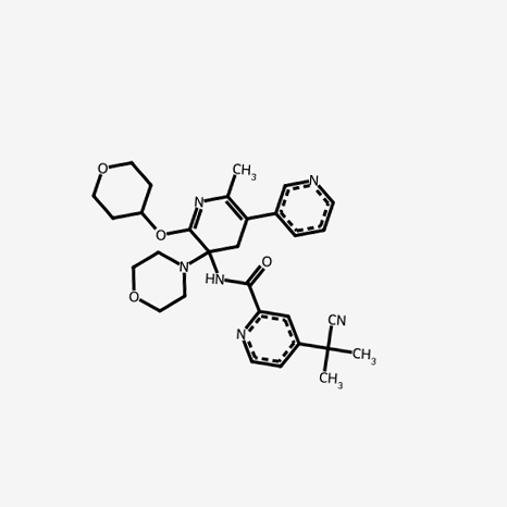 CC1=C(c2cccnc2)CC(NC(=O)c2cc(C(C)(C)C#N)ccn2)(N2CCOCC2)C(OC2CCOCC2)=N1